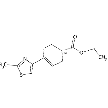 CCOC(=O)[C@@H]1CC=C(c2csc(C)n2)CC1